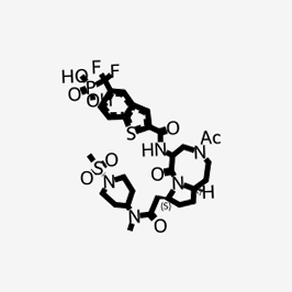 CC(=O)N1CC[C@H]2CC[C@@H](CC(=O)N(C)C3CCN(S(C)(=O)=O)CC3)N2C(=O)C(NC(=O)c2cc3cc(C(F)(F)P(=O)(O)O)ccc3s2)C1